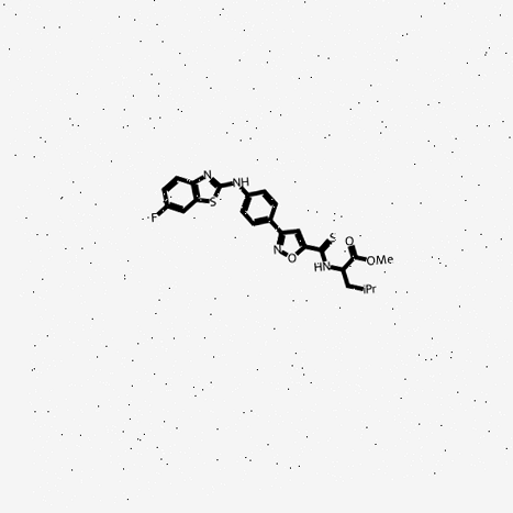 COC(=O)C(CC(C)C)NC(=S)c1cc(-c2ccc(Nc3nc4ccc(F)cc4s3)cc2)no1